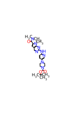 CN(C)C(=O)c1cc2cnc(Nc3ccc(N4CCN(C(=O)OC(C)(C)C)CC4)cn3)nc2n1C